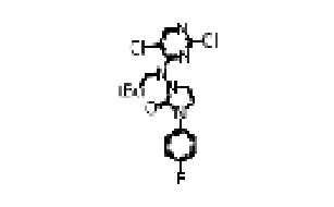 CC(C)(C)CN(c1nc(Cl)ncc1Cl)N1CCN(c2ccc(F)cc2)C1=O